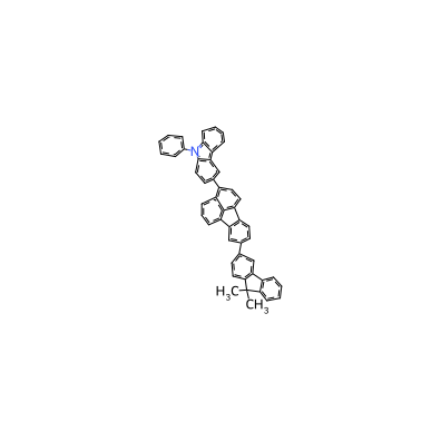 CC1(C)c2ccccc2-c2cc(-c3ccc4c(c3)-c3cccc5c(-c6ccc7c(c6)c6ccccc6n7-c6ccccc6)ccc-4c35)ccc21